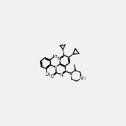 CCc1cccc(CC)c1-n1c(=O)nc(N2CCNCC2C)c2cc(C3CC3)c(C3CC3)nc21